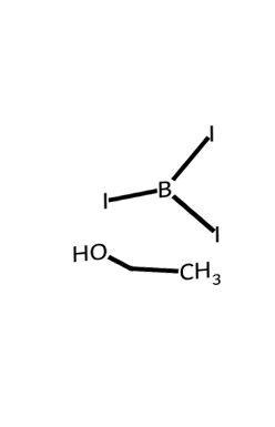 CCO.IB(I)I